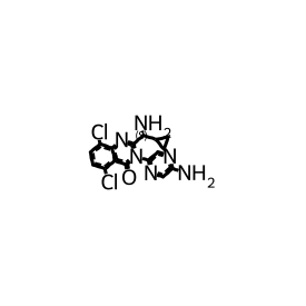 Nc1cnc(-n2c([C@@H](N)C3CC3)nc3c(Cl)ccc(Cl)c3c2=O)cn1